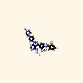 COc1cc(-c2nn(C3CCC(N4CCN(C)CC4)CC3)c3ncnc(N)c23)ccc1NCc1ccccc1Cl